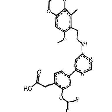 COc1cc2c(c(C)c1CCNc1cc(-c3ccc(CC(=O)O)c(OC(F)F)c3)ncn1)OCCO2